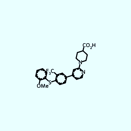 COc1ccccc1Sc1ccc(-c2ccnc(N3CCC(C(=O)O)CC3)c2)cc1C(F)(F)F